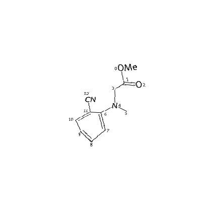 COC(=O)CN(C)c1ccccc1C#N